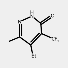 CCc1c(C)n[nH]c(=O)c1C(F)(F)F